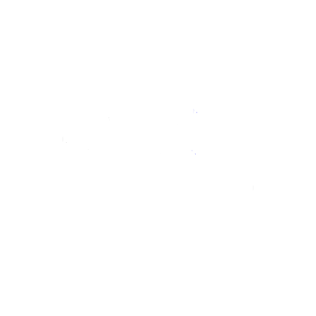 COc1ccccc1N1CCNCC1CCCC(C(C)=O)C(=O)O